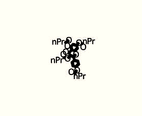 CCCC(=O)Oc1ccc(-c2oc3cc(OC(=O)CCC)cc(OC(=O)CCC)c3c(=O)c2OC(=O)CCC)cc1